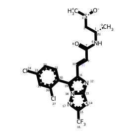 C[C@@H](C[S+](C)[O-])NC(=O)/C=C/c1nc2sc(C(F)(F)F)nn2c1-c1ccc(Cl)cc1Cl